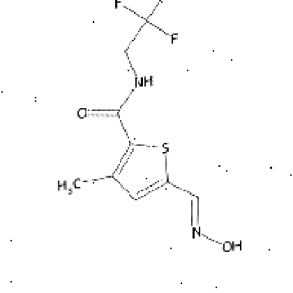 Cc1cc(C=NO)sc1C(=O)NCC(F)(F)F